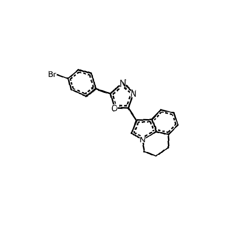 Brc1ccc(-c2nnc(-c3cn4c5c(cccc35)CCC4)o2)cc1